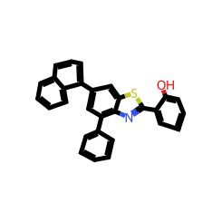 Oc1ccccc1-c1nc2c(-c3ccccc3)cc(-c3cccc4ccccc34)cc2s1